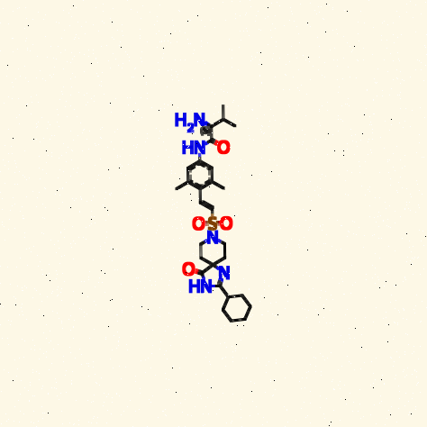 Cc1cc(NC(=O)[C@@H](N)C(C)C)cc(C)c1C=CS(=O)(=O)N1CCC2(CC1)N=C(C1CCCCC1)NC2=O